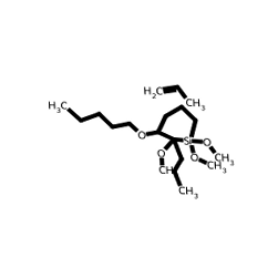 C=CC.CCCCCOC1CCC[Si](OC)(OC)C1(CCC)OC